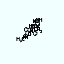 C[C@H](Nc1nccc2[nH]cnc12)c1cc2cccc(-c3cnn(C)c3)c2c(=O)n1-c1ccccc1